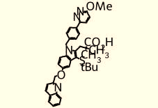 COc1ccc(-c2ccc(Cn3c(CC(C)(C)C(=O)O)c(SC(C)(C)C)c4cc(OCc5ccc6ccccc6n5)ccc43)cc2)nn1